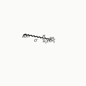 CCCCCCCC/C=C\CCCCCCCCCCCCNCCC[N+](C)(C)C.[Cl-]